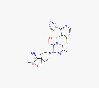 Cc1nc(N2CCC3(CC2)CO[C@@H](C)[C@H]3N)c(CO)nc1Sc1ccnc(-n2ccnc2)c1Cl